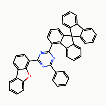 c1ccc(-c2nc(-c3cccc4c3-c3ccccc3C43c4ccccc4-c4ccccc43)nc(-c3cccc4c3oc3ccccc34)n2)cc1